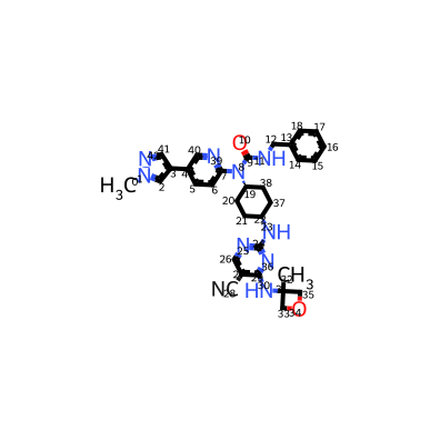 Cn1cc(-c2ccc(N(C(=O)NCc3ccccc3)[C@H]3CC[C@H](Nc4ncc(C#N)c(NC5(C)COC5)n4)CC3)nc2)cn1